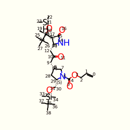 C=CCOC(=O)N1C[C@@H](CC(=O)C[C@H]2NC(=O)[C@@H]2[C@@](C)(O[SiH](C)C)C(C)(C)C)C[C@H]1CO[Si](C)(C)C(C)(C)C